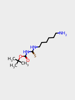 CC(C)(C)OC(=O)NC(=S)NCCCCCCN